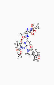 C=C[C@@H]1C[C@]1(NC(=O)[C@@H]1C[C@@H](Oc2nccc3c2ccc2occc23)CN1C(=O)[C@@H](NC(=O)OC(C)(C)C)C(C)(C)C)C(=O)NS(=O)(=O)C1CC1